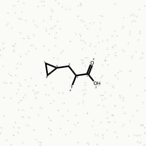 O=C(O)C(I)CC1CC1